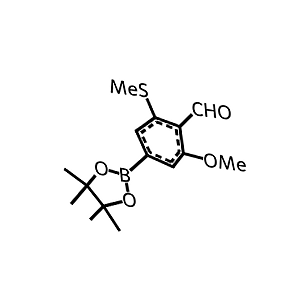 COc1cc(B2OC(C)(C)C(C)(C)O2)cc(SC)c1C=O